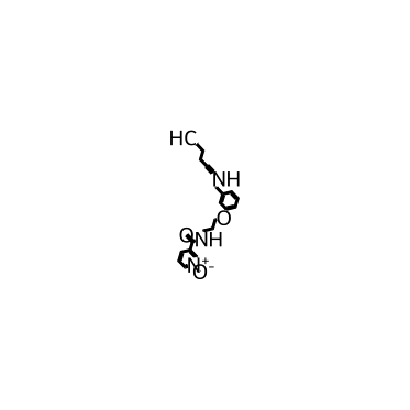 C#CCCC#CNCc1cccc(OCCCNC(=O)c2ccc[n+]([O-])c2)c1